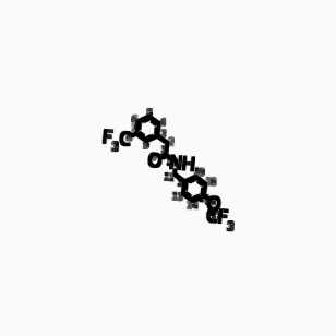 O=C(Cc1cccc(C(F)(F)F)c1)NCc1ccc(OC(F)(F)F)cc1